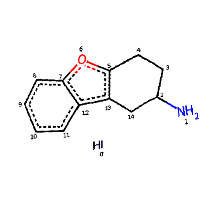 I.NC1CCc2oc3ccccc3c2C1